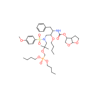 CCCCOC(CN(CC(C)(C)OCP(=O)(OCCCC)OCCCC)S(=O)(=O)c1ccc(OC)cc1)C(Cc1ccccc1)NC(=O)OC1COC2OCCC12